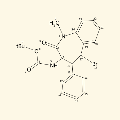 CN1C(=O)C(NC(=O)OC(C)(C)C)C(c2ccccc2)C(Br)c2ccccc21